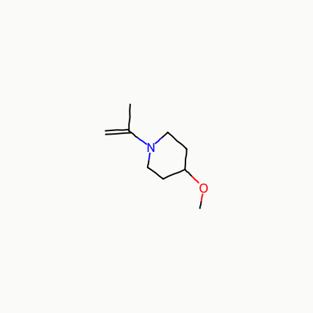 C=C(C)N1CCC(OC)CC1